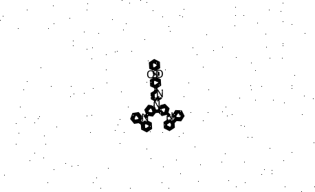 O=S(=O)(c1ccccc1)c1ccc(-c2ccc(-n3c4ccc(-n5c6ccccc6c6ccccc65)cc4c4cc(-n5c6ccccc6c6ccccc65)ccc43)cn2)cc1